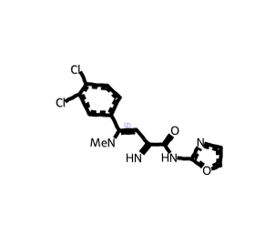 CN/C(=C\C(=N)C(=O)Nc1ncco1)c1ccc(Cl)c(Cl)c1